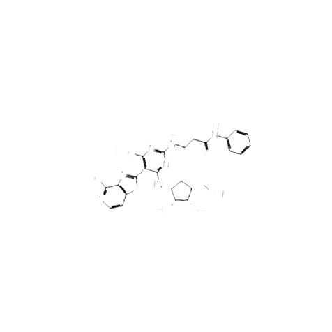 Cc1nc(NCCC(=O)Nc2ccccc2)nc(N[C@@H]2C[C@H](CO)[C@@H](O)[C@H]2O)c1-c1nc2c(C)nccc2s1